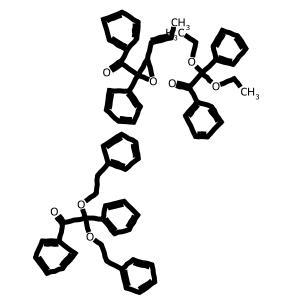 C/C=C/C1OC1(C(=O)c1ccccc1)c1ccccc1.CCOC(OCC)(C(=O)c1ccccc1)c1ccccc1.O=C(c1ccccc1)C(OCCc1ccccc1)(OCCc1ccccc1)c1ccccc1